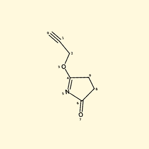 C#CCOC1=NC(=O)CC1